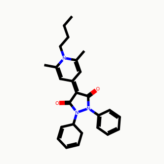 CCCCN1C(C)=CC(=C2C(=O)N(c3ccccc3)N(C3C=CC=CC3)C2=O)C=C1C